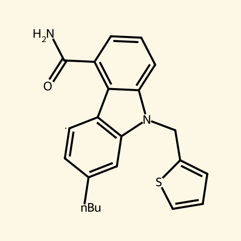 CCCCc1c[c]c2c3c(C(N)=O)cccc3n(Cc3cccs3)c2c1